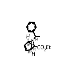 CCOC(=O)[C@H]1[C@H]2C=C[C@@H](C2)N1[C@H](C)c1ccccc1